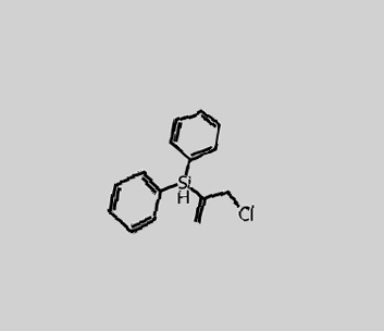 C=C(CCl)[SiH](c1ccccc1)c1ccccc1